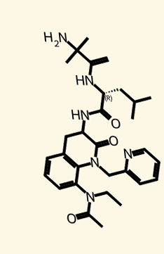 C=C(N[C@H](CC(C)C)C(=O)NC1Cc2cccc(N(CC)C(C)=O)c2N(Cc2ccccn2)C1=O)C(C)(C)N